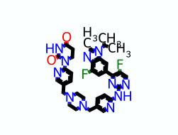 Cc1nc2c(F)cc(-c3nc(Nc4ccc(CN5CCN(Cc6ccc(N7CCC(=O)NC7=O)nc6)CC5)cn4)ncc3F)cc2n1C(C)C